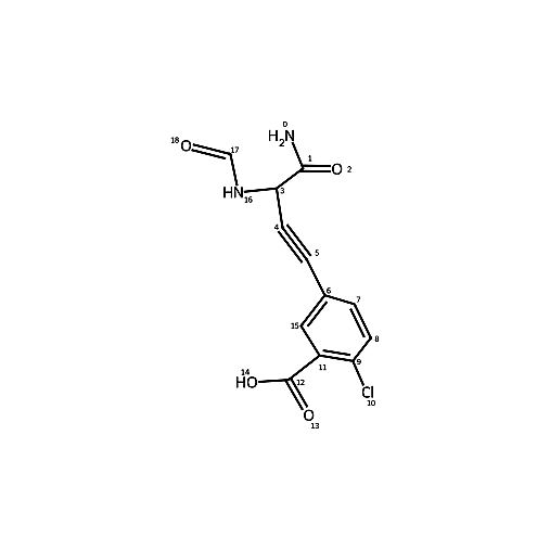 NC(=O)C(C#Cc1ccc(Cl)c(C(=O)O)c1)NC=O